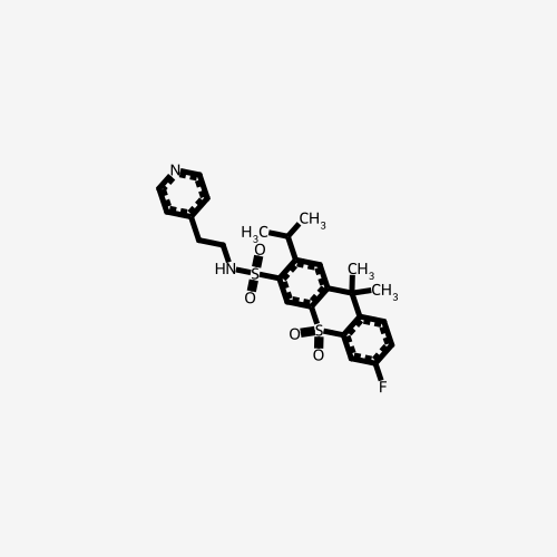 CC(C)c1cc2c(cc1S(=O)(=O)NCCc1ccncc1)S(=O)(=O)c1cc(F)ccc1C2(C)C